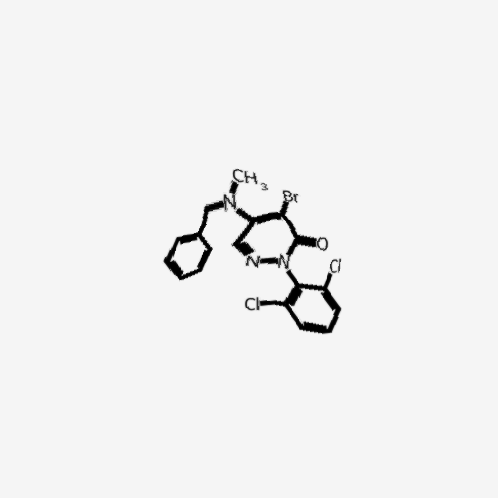 CN(Cc1ccccc1)c1cnn(-c2c(Cl)cccc2Cl)c(=O)c1Br